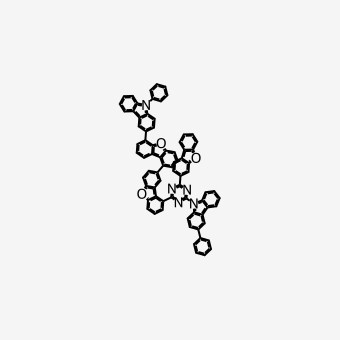 c1ccc(-c2ccc3c(c2)c2ccccc2n3-c2nc(-c3ccc4c(c3)oc3ccccc34)nc(-c3cccc4oc5ccc(-c6cccc7oc8c(-c9ccc%10c(c9)c9ccccc9n%10-c9ccccc9)cccc8c67)cc5c34)n2)cc1